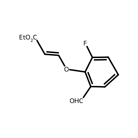 CCOC(=O)C=COc1c(F)cccc1C=O